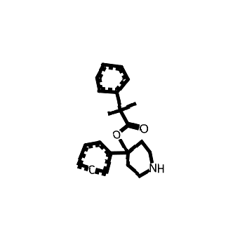 CC(C)(C(=O)OC1(c2ccccc2)CCNCC1)c1ccccc1